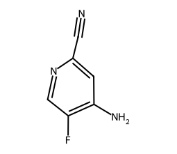 N#Cc1cc(N)c(F)cn1